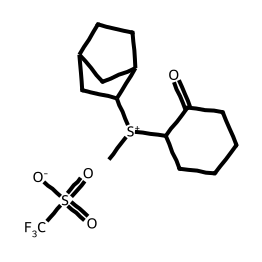 C[S+](C1CCCCC1=O)C1CC2CCC1C2.O=S(=O)([O-])C(F)(F)F